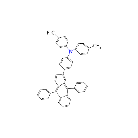 FC(F)(F)c1ccc(N(c2ccc(-c3ccc4c(-c5ccccc5)c5ccccc5c(-c5ccccc5)c4c3)cc2)c2ccc(C(F)(F)F)cc2)cc1